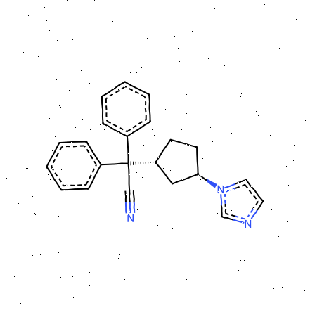 N#CC(c1ccccc1)(c1ccccc1)[C@@H]1CC[C@@H](n2ccnc2)C1